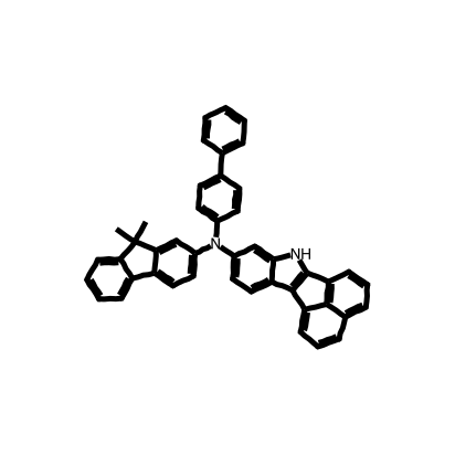 CC1(C)c2ccccc2-c2ccc(N(c3ccc(-c4ccccc4)cc3)c3ccc4c5c([nH]c4c3)-c3cccc4cccc-5c34)cc21